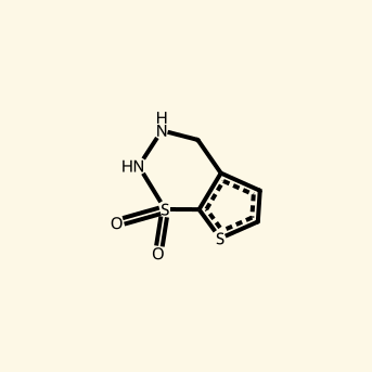 O=S1(=O)NNCc2ccsc21